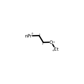 [CH2]CCCCOC[CH2]